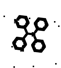 c1ccc(N(c2ccccc2)C(c2cccnc2)c2cccnc2)cc1